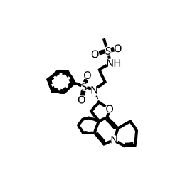 CS(=O)(=O)NCCN([C@H]1CC23CCCCC2=CN2C=CCCC2=C3O1)S(=O)(=O)c1ccccc1